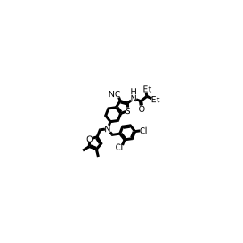 CCC(CC)C(=O)Nc1sc2c(c1C#N)CCC(N(Cc1cc(C)c(C)o1)Cc1ccc(Cl)cc1Cl)C2